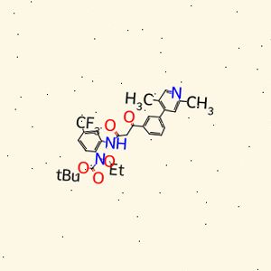 CCON(C(=O)OC(C)(C)C)c1ccc(C(F)(F)F)cc1NC(=O)CC(=O)c1cccc(-c2cc(C)ncc2C)c1